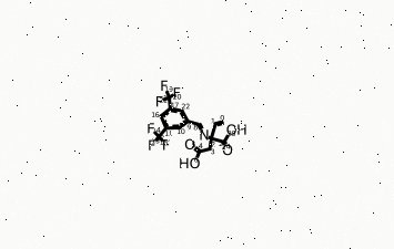 C=CC(CC(=O)O)(N=Cc1cc(C(F)(F)F)cc(C(F)(F)F)c1)C(=O)O